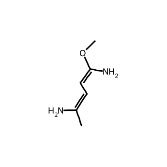 CO/C(N)=C/C=C(/C)N